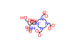 CS(=O)(=O)NC(CC(O)CO)C(O)C[N+]1([Gd])CCN(CC(=O)[O-])CCN(CC(=O)[O-])CCN(CC(=O)[O-])CC1